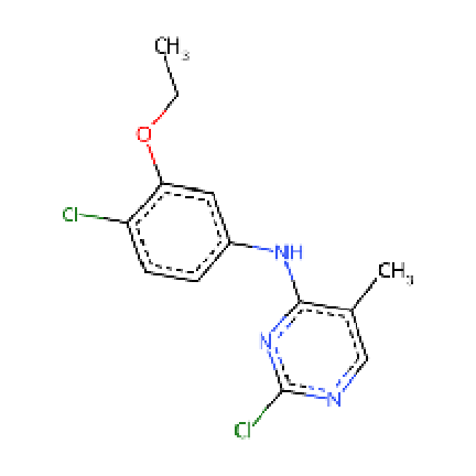 CCOc1cc(Nc2nc(Cl)ncc2C)ccc1Cl